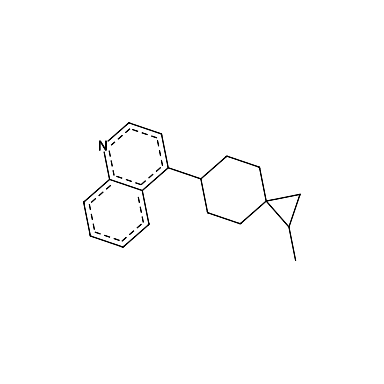 CC1CC12CCC(c1ccnc3ccccc13)CC2